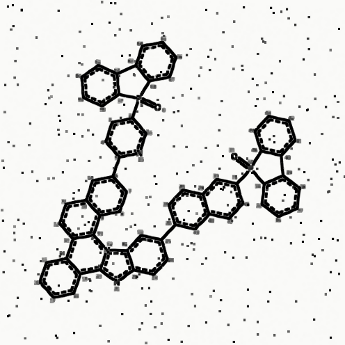 O=P1(c2ccc(-c3ccc4c(ccc5c6ccccc6c6nc7ccc(-c8ccc9cc(P%10(=O)c%11ccccc%11-c%11ccccc%11%10)ccc9c8)cc7n6c45)c3)nc2)c2ccccc2-c2ccccc21